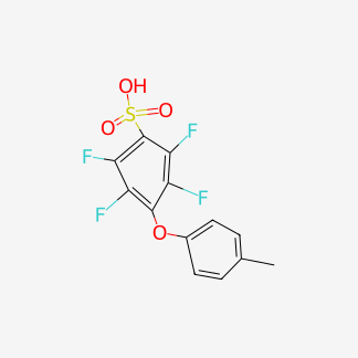 Cc1ccc(Oc2c(F)c(F)c(S(=O)(=O)O)c(F)c2F)cc1